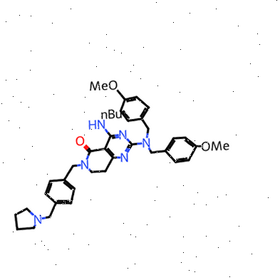 CCCCNc1nc(N(Cc2ccc(OC)cc2)Cc2ccc(OC)cc2)nc2c1C(=O)N(Cc1ccc(CN3CCCC3)cc1)CC2